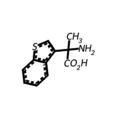 CC(N)(C(=O)O)c1csc2ccccc12